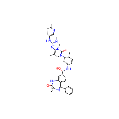 C=N/C(=N\C1=C(C)CN(c2cc(NC(O)C3C=C4NC(=O)[C@H](C)N=C(c5ccccc5)C4=CC3)ccc2C)C(=O)N1C)NC1=CN=C(C)CC1